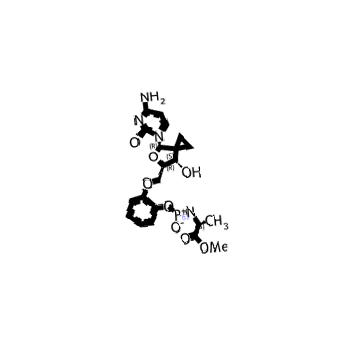 COC(=O)[C@H](C)/N=[P+](\[O-])Oc1ccccc1OC[C@H]1O[C@@H](n2ccc(N)nc2=O)C2(CC2)[C@@H]1O